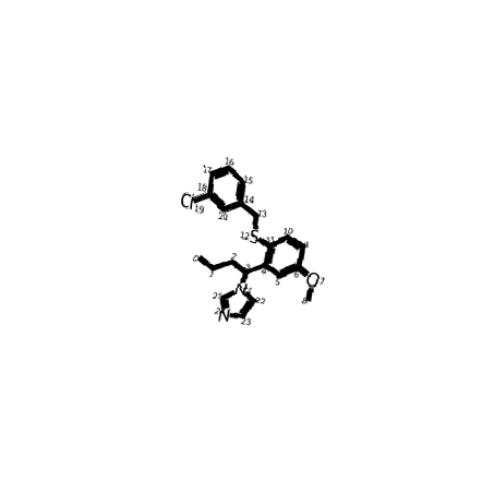 CCCC(c1cc(OC)ccc1SCc1cccc(Cl)c1)n1ccnc1